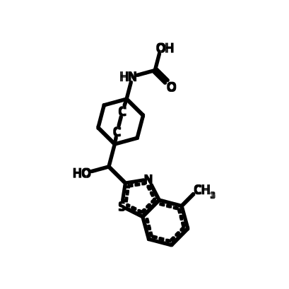 Cc1cccc2sc(C(O)C34CCC(NC(=O)O)(CC3)CC4)nc12